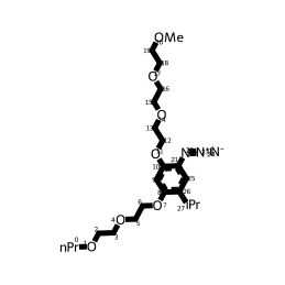 CCCOCCOCCOc1cc(OCCOCCOCCOC)c(N=[N+]=[N-])cc1C(C)C